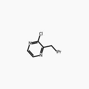 CC(C)Cc1nccnc1Cl